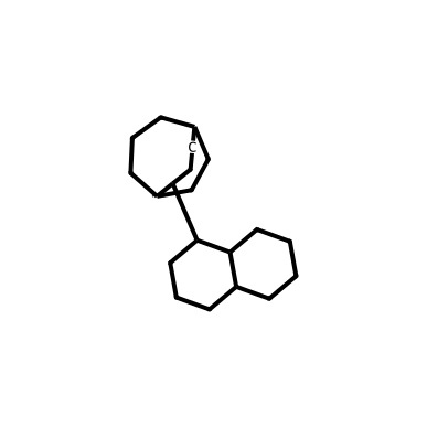 C1C[C]2CCC(C1)CCC2C1CCCC2CCCCC21